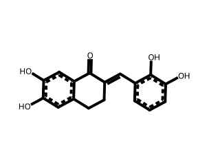 O=C1C(=Cc2cccc(O)c2O)CCc2cc(O)c(O)cc21